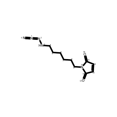 [N-]=[N+]=NNCCCCCCN1C(=O)C=CC1=O